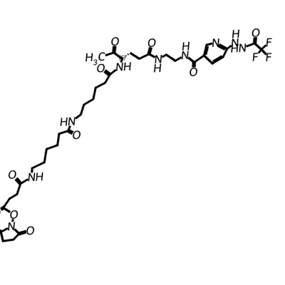 CC(=O)[C@H](CCC(=O)NCCNC(=O)c1ccc(NNC(=O)C(F)(F)F)nc1)NC(=O)CCCCCNC(=O)CCCCCNC(=O)CCC(=O)ON1C(=O)CCC1=O